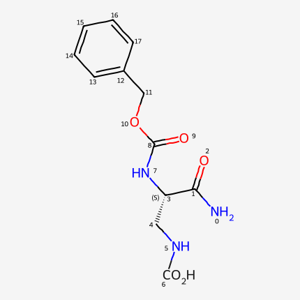 NC(=O)[C@H](CNC(=O)O)NC(=O)OCc1ccccc1